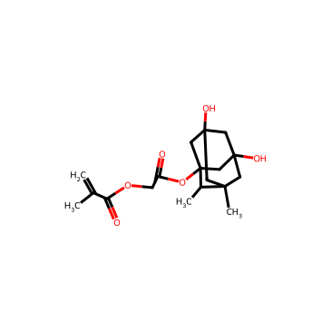 C=C(C)C(=O)OCC(=O)OC12CC3(O)CC(O)(CC(C)(C3)C1C)C2